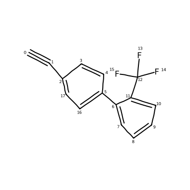 C#Cc1ccc(-c2ccccc2C(F)(F)F)cc1